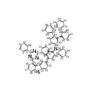 c1ccc(-c2nc(-c3ccccc3)nc(-c3cccc4sc5ccc(-c6ccc7c(c6)c6ccccc6n7-c6ccc7c(c6)-c6ccccc6-c6ccccc6-c6ccccc6-7)cc5c34)n2)cc1